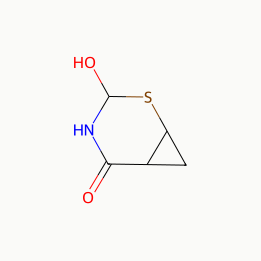 O=C1NC(O)SC2CC12